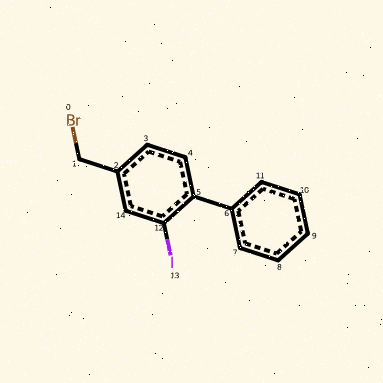 BrCc1ccc(-c2ccccc2)c(I)c1